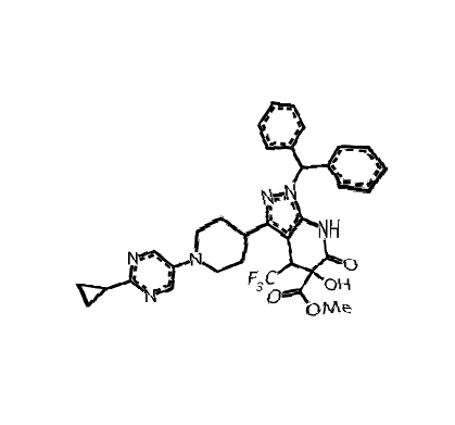 COC(=O)C1(O)C(=O)Nc2c(c(C3CCN(c4cnc(C5CC5)nc4)CC3)nn2C(c2ccccc2)c2ccccc2)C1C(F)(F)F